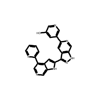 Oc1cncc(-c2cc3c(-c4cc5c(-c6ccccn6)cncc5[nH]4)n[nH]c3cn2)c1